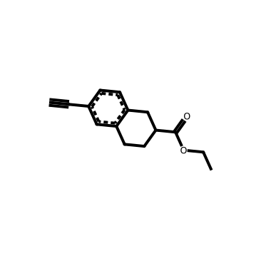 C#Cc1ccc2c(c1)CCC(C(=O)OCC)C2